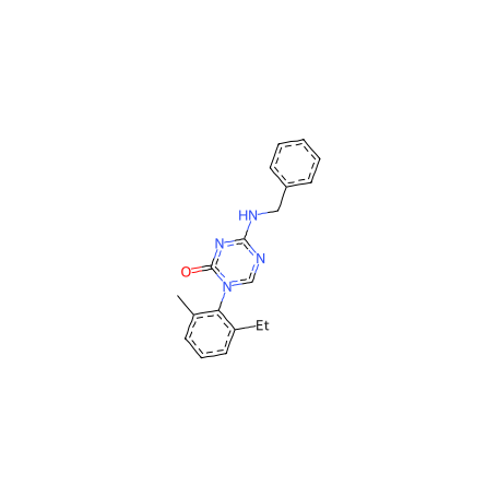 CCc1cccc(C)c1-n1cnc(NCc2ccccc2)nc1=O